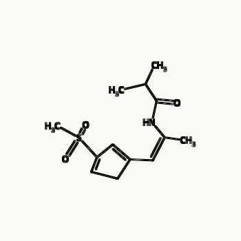 C/C(=C/C1=CC(S(C)(=O)=O)=CC1)NC(=O)C(C)C